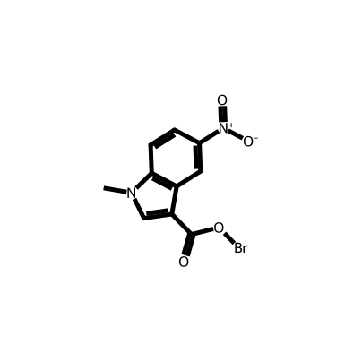 Cn1cc(C(=O)OBr)c2cc([N+](=O)[O-])ccc21